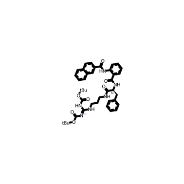 CC(C)(C)OC(=O)/N=C(/NCCCNC(=O)[C@H](Cc1ccccc1)NC(=O)c1ccccc1NC(=O)c1ccc2ccccc2c1)NC(=O)OC(C)(C)C